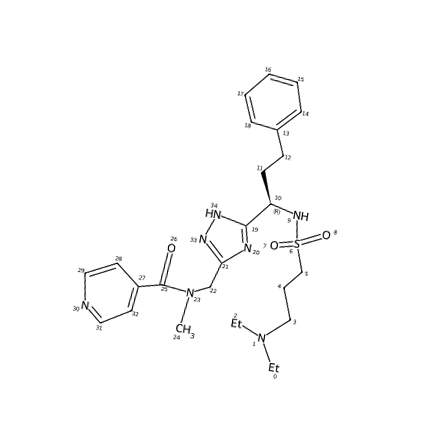 CCN(CC)CCCS(=O)(=O)N[C@H](CCc1ccccc1)c1nc(CN(C)C(=O)c2ccncc2)n[nH]1